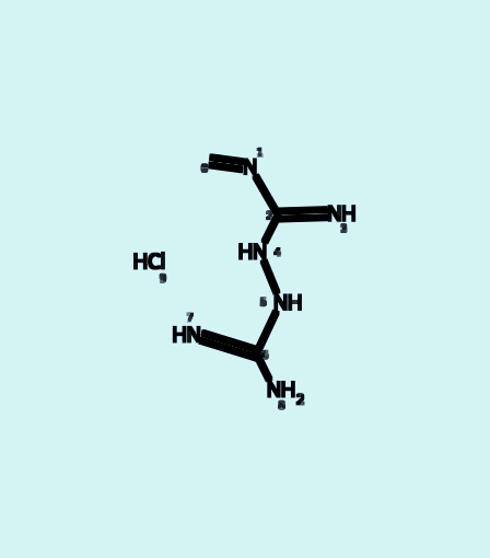 C=NC(=N)NNC(=N)N.Cl